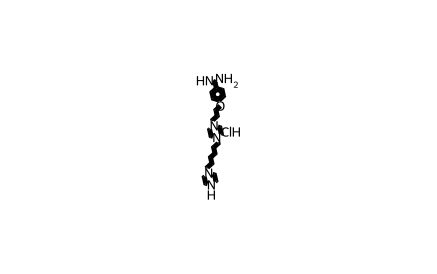 Cl.N=C(N)c1ccc(OCCCN2CCN(CCCCCCN3CCNCC3)CC2)cc1